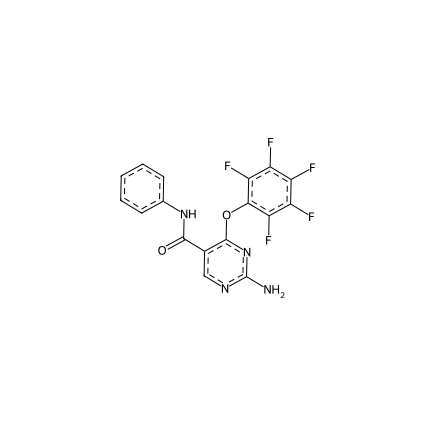 Nc1ncc(C(=O)Nc2ccccc2)c(Oc2c(F)c(F)c(F)c(F)c2F)n1